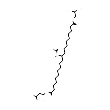 CCCCCCCCCC(CCCCCC)COC(=O)CCCCCCCCC(CCCCCCCCCC(=O)OCCC(CCCCCC)CCCCCCCC)N(CCC)C(=O)CCCCCCCC